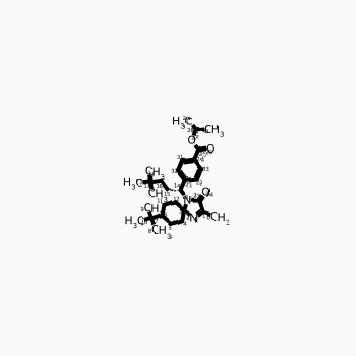 CC1=NC2(CCC(C(C)(C)C)CC2)N([C@H](CCC(C)(C)C)c2ccc(C(=O)OC(C)C)cc2)C1=O